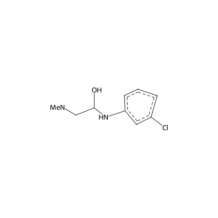 CNCC(O)Nc1cccc(Cl)c1